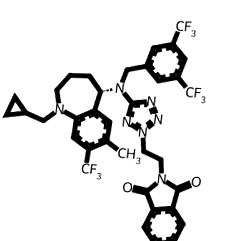 Cc1cc2c(cc1C(F)(F)F)N(CC1CC1)CCC[C@@H]2N(Cc1cc(C(F)(F)F)cc(C(F)(F)F)c1)c1nnn(CCN2C(=O)c3ccccc3C2=O)n1